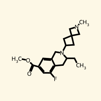 CCC1Cc2c(F)cc(C(=O)OC)cc2CN1C1CC2(C1)CN(C)C2